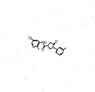 Cc1cccc(N2CC(C(=O)Nc3cc(Cl)cnc3C)CC2=O)c1